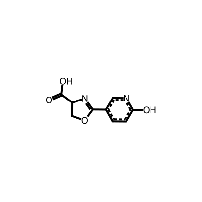 O=C(O)C1COC(c2ccc(O)nc2)=N1